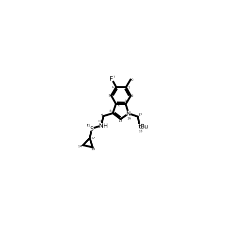 Cc1cc2c(cc1F)c(CNSC1CC1)cn2CC(C)(C)C